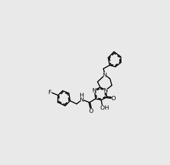 O=C(NCc1ccc(F)cc1)c1nc2n(c(=O)c1O)CCN(Cc1ccccc1)C2